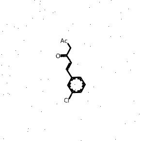 CC(=O)CC(=O)/C=C/c1cccc(Cl)c1